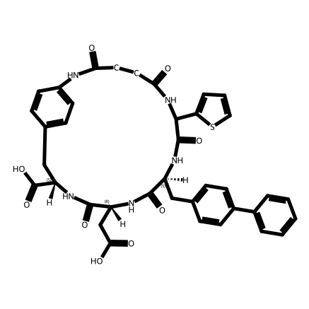 O=C(O)C[C@H]1NC(=O)[C@H](Cc2ccc(-c3ccccc3)cc2)NC(=O)C(c2cccs2)NC(=O)CCC(=O)Nc2ccc(cc2)C[C@@H](C(=O)O)NC1=O